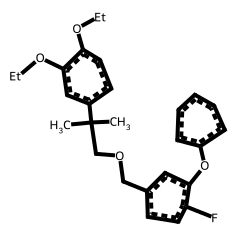 CCOc1ccc(C(C)(C)COCc2ccc(F)c(Oc3ccccc3)c2)cc1OCC